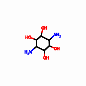 NC1C(O)C(O)C(N)C(O)C1O